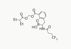 CCC(CC)C(=O)OCOC(=O)c1cccc2c1OB(O)C(NC(=O)CCC(F)(F)F)C2